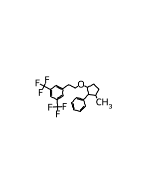 CC1CCC(OCCc2cc(C(F)(F)F)cc(C(F)(F)F)c2)C1c1ccccc1